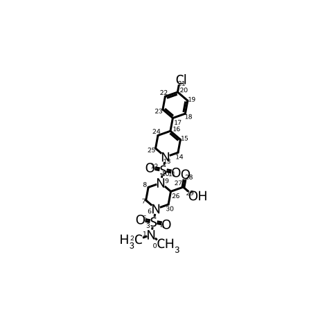 CN(C)S(=O)(=O)N1CCN(S(=O)(=O)N2CC=C(c3ccc(Cl)cc3)CC2)C(C(=O)O)C1